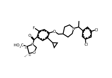 CC(c1cc(Cl)cc(Cl)c1)N1CCC(COc2cc(F)c(C(=O)N3CO[C@H](C)[C@H]3C(=O)O)cc2C2CC2)CC1